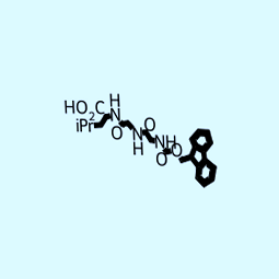 CC(C)C[C@H](NC(=O)CNC(=O)CNC(=O)OCC1c2ccccc2-c2ccccc21)C(=O)O